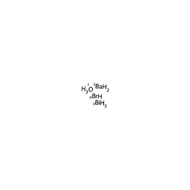 Br.O.[BaH2].[BiH3]